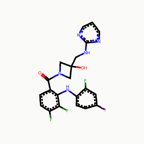 O=C(c1ccc(F)c(F)c1Nc1ccc(I)cc1F)N1CC(O)(CNc2ncccn2)C1